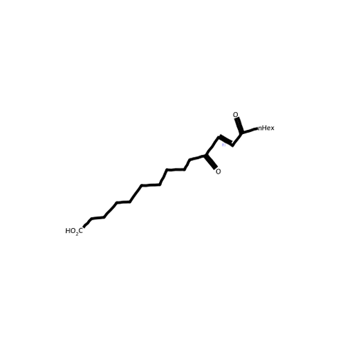 CCCCCCC(=O)/C=C/C(=O)CCCCCCCCCC(=O)O